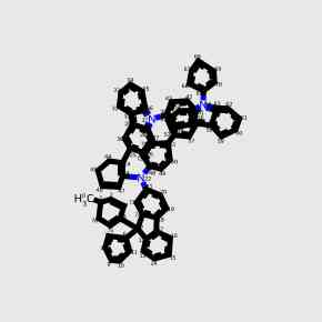 CC1C=CC(C2(c3ccccc3)c3ccccc3-c3ccc(N(C4=C(c5ccc6c(c5)c5ccccc5n6-c5ccccc5)CCC=C4)c4ccc(-c5ccc6c(c5)c5ccccc5n6-c5ccccc5)cc4)cc32)=CC1